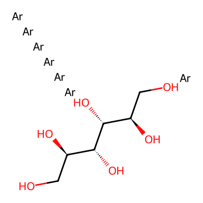 OC[C@@H](O)[C@@H](O)[C@H](O)[C@H](O)CO.[Ar].[Ar].[Ar].[Ar].[Ar].[Ar].[Ar]